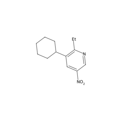 CCc1ncc([N+](=O)[O-])cc1C1CCCCC1